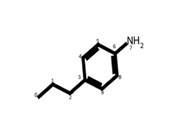 CC[CH]c1ccc(N)cc1